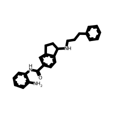 Nc1ccccc1NC(=O)c1ccc2c(c1)CCC2NCCCc1ccccc1